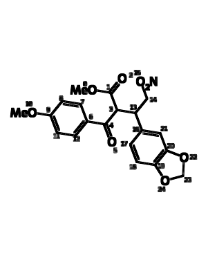 COC(=O)C(C(=O)c1ccc(OC)cc1)C(C[N+](=O)[O-])c1ccc2c(c1)OCO2